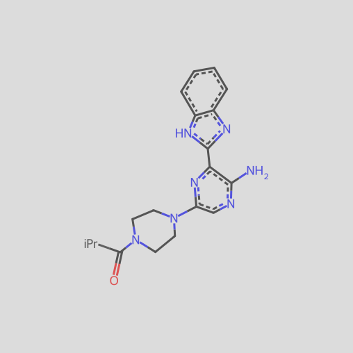 CC(C)C(=O)N1CCN(c2cnc(N)c(-c3nc4ccccc4[nH]3)n2)CC1